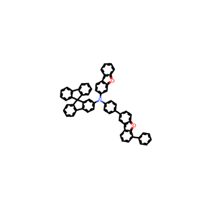 c1ccc(-c2cccc3c2oc2ccc(-c4ccc(N(c5ccc6c(c5)C5(c7ccccc7-c7ccccc75)c5ccccc5-6)c5ccc6c(c5)oc5ccccc56)cc4)cc23)cc1